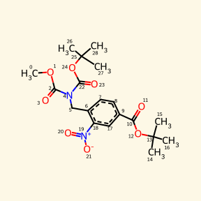 COC(=O)N(Cc1ccc(C(=O)OC(C)(C)C)cc1[N+](=O)[O-])C(=O)OC(C)(C)C